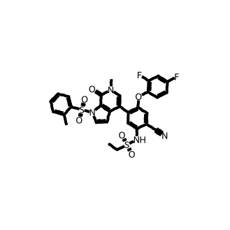 CCS(=O)(=O)Nc1cc(-c2cn(C)c(=O)c3c2ccn3S(=O)(=O)c2ccccc2C)c(Oc2ccc(F)cc2F)cc1C#N